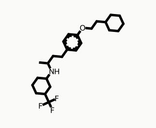 CC(CCc1ccc(OCCC2CCCCC2)cc1)NC1CCCC(C(F)(F)F)C1